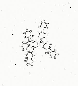 c1ccc(-c2ccc(N(c3ccc4c(c3)oc3ccccc34)c3ccc4c5c(-c6ccc7ccccc7c6)cccc5n(-c5ccccc5)c4c3)cc2)cc1